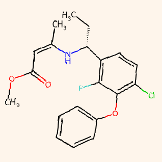 CC[C@@H](N/C(C)=C\C(=O)OC)c1ccc(Cl)c(Oc2ccccc2)c1F